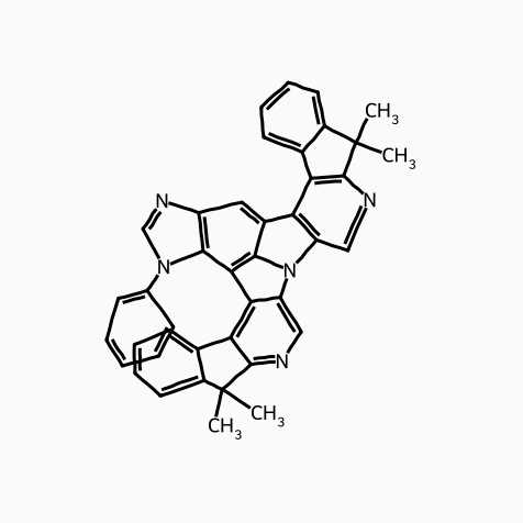 CC1(C)c2ccccc2-c2c1ncc1c2c2cc3ncn(-c4ccccc4)c3c3c4c5c(ncc4n1c23)C(C)(C)c1ccccc1-5